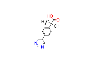 CC(C)(C(=O)O)c1ccc(-c2cncnc2)cc1